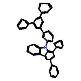 c1ccc(-c2cc(-c3ccccc3)cc(-c3cccc(-n4c5ccccc5c5cc(-c6ccccc6)cc(-c6ccccc6)c54)c3)c2)cc1